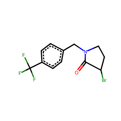 O=C1C(Br)CCN1Cc1ccc(C(F)(F)F)cc1